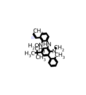 C=Nc1c(/C=C\C)cccc1Nc1cc(C(C)(C)C)cc(-c2ccccc2C)c1N=C